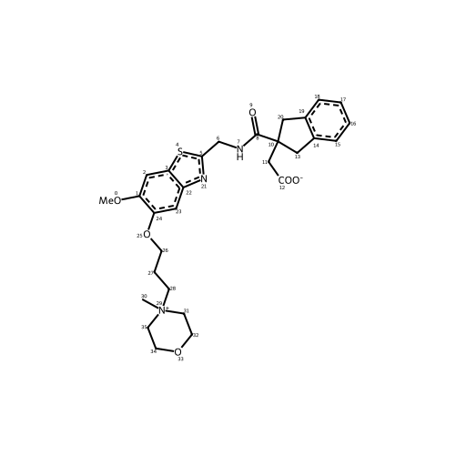 COc1cc2sc(CNC(=O)C3(CC(=O)[O-])Cc4ccccc4C3)nc2cc1OCCC[N+]1(C)CCOCC1